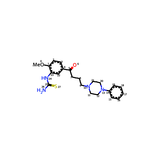 COc1ccc(C(=O)CCCN2CCN(c3ccccc3)CC2)cc1NC(N)=S